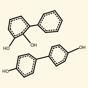 Oc1ccc(-c2ccc(O)cc2)cc1.Oc1cccc(-c2ccccc2)c1O